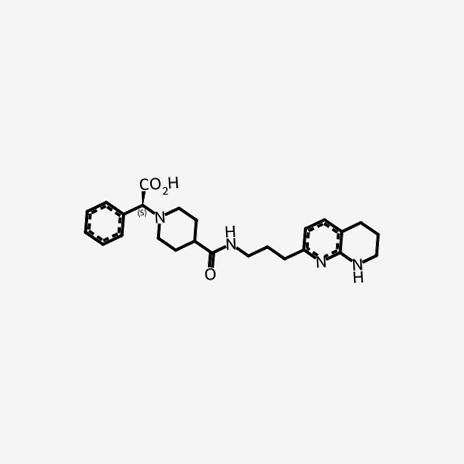 O=C(NCCCc1ccc2c(n1)NCCC2)C1CCN([C@H](C(=O)O)c2ccccc2)CC1